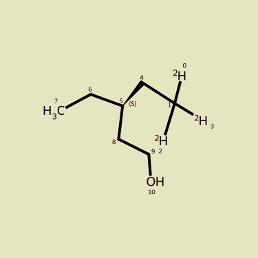 [2H]C([2H])([2H])C[C@H](CC)CCO